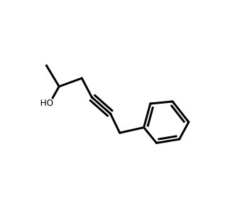 CC(O)CC#CCc1ccccc1